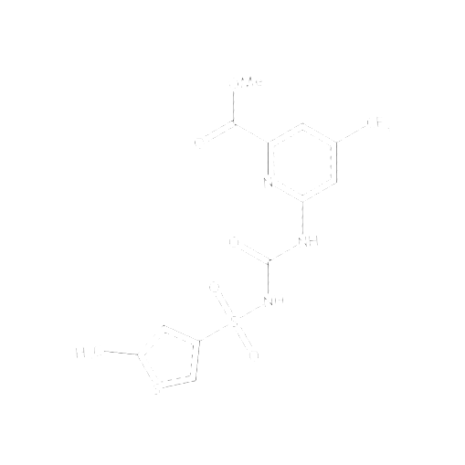 COC(=O)c1cc(C(F)(F)F)cc(NC(=O)NS(=O)(=O)c2csc(C)c2)n1